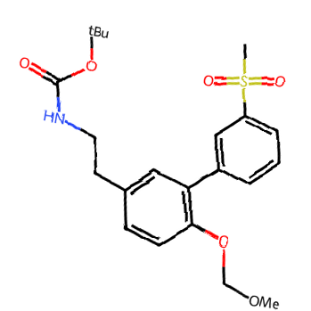 COCOc1ccc(CCNC(=O)OC(C)(C)C)cc1-c1cccc(S(C)(=O)=O)c1